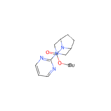 CC(C)(C)OC(=O)N1C2CCC1CN(c1ncccn1)C2